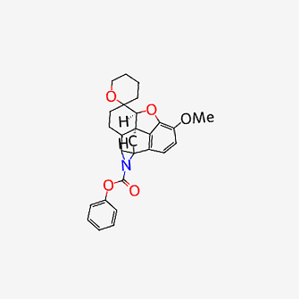 COc1ccc2c3c1O[C@@H]1C4(CCCCO4)CC[C@@H]4C5N(C(=O)Oc6ccccc6)C25C[C@]341